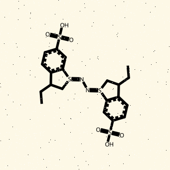 CCC1CS(=NN=S2CC(CC)c3ccc(S(=O)(=O)O)cc32)c2cc(S(=O)(=O)O)ccc21